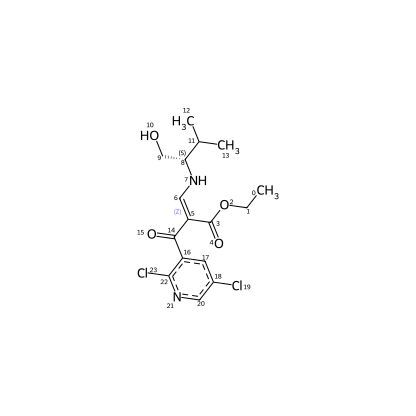 CCOC(=O)/C(=C\N[C@H](CO)C(C)C)C(=O)c1cc(Cl)cnc1Cl